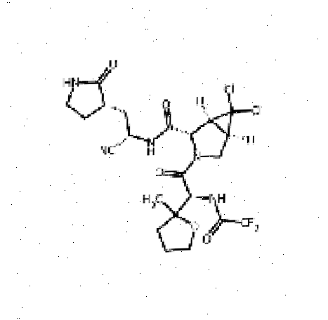 CC1([C@H](NC(=O)C(F)(F)F)C(=O)N2C[C@H]3[C@@H]([C@H]2C(=O)N[C@H](C#N)C[C@@H]2CCNC2=O)C3(Cl)Cl)CCCO1